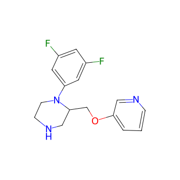 Fc1cc(F)cc(N2CCNCC2COc2cccnc2)c1